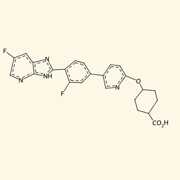 O=C(O)C1CCC(Oc2ccc(-c3ccc(-c4nc5cc(F)cnc5[nH]4)c(F)c3)cn2)CC1